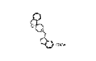 COc1ccc2c(c1)C(CN1CCC3(CC1)OCc1ccccc13)CC2